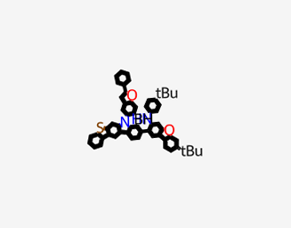 CC(C)(C)c1ccc(Nc2cc3oc4cc(C(C)(C)C)ccc4c3cc2-c2ccc3c4cc5c(cc4n4c3c2Bc2cc3oc(-c6ccccc6)cc3cc2-4)sc2ccccc25)cc1